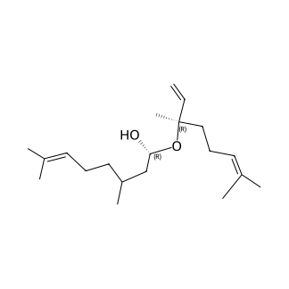 C=C[C@@](C)(CCC=C(C)C)O[C@@H](O)CC(C)CCC=C(C)C